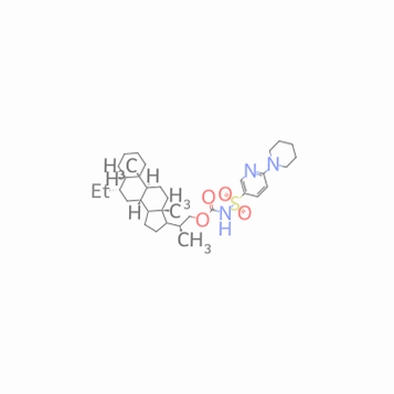 CC[C@H]1C[C@H]2C3CCC([C@H](C)COC(=O)NS(=O)(=O)c4ccc(N5CCCCC5)nc4)[C@@]3(C)CC[C@@H]2[C@@]2(C)CCCC[C@@H]12